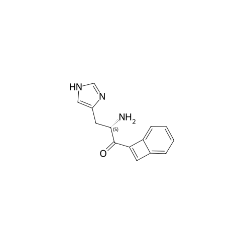 N[C@@H](Cc1c[nH]cn1)C(=O)C1=Cc2ccccc21